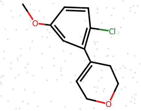 COc1ccc(Cl)c(C2=CCOCC2)c1